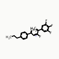 C=C(/C=C(/F)C(=C)c1cc(F)c(F)c(F)c1)c1ccc(CCC)cc1